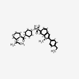 CCc1ccc(-c2cc3ccc(S(=O)(=O)N[C@H]4CC[C@H](C(=O)N5CCOC[C@@H]5C(C)C)CC4)cc3n2C)cc1